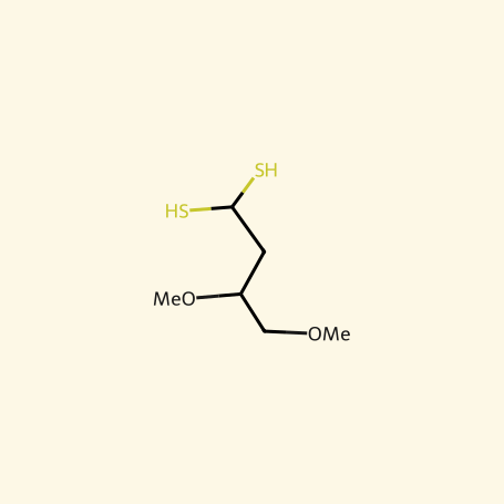 COCC(CC(S)S)OC